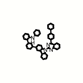 c1ccc(Nc2ccccc2-c2cccc(-c3ccc4c(c3)c3ccccc3n4-c3nc(-c4ccc(-c5ccccc5)cc4)c4ccccc4n3)c2)cc1